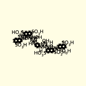 O=S(=O)(O)c1cc(Nc2nc(O)nc(Nc3ccc(Nc4nc(O)nc(Nc5cc(S(=O)(=O)O)cc6cc(S(=O)(=O)O)c(N=Nc7ccc8c(S(=O)(=O)O)cccc8c7S(=O)(=O)O)c(O)c56)n4)cc3)n2)c2c(O)c(N=Nc3ccc4c(S(=O)(=O)O)cccc4c3S(=O)(=O)O)c(S(=O)(=O)O)cc2c1